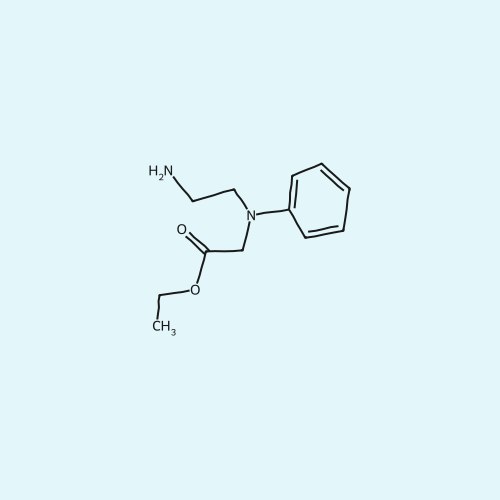 CCOC(=O)CN(CCN)c1ccccc1